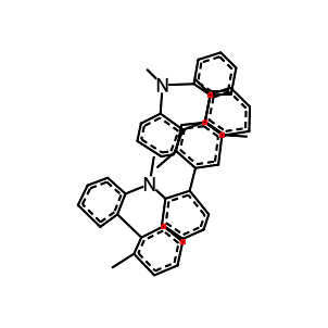 Cc1ccccc1-c1ccccc1N(C)c1ccccc1-c1cc(C)c(-c2ccccc2N(C)c2ccccc2-c2ccccc2C)cc1C